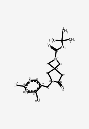 CC(C)(C)OC(=O)N1CC2(CC(=O)N(Cc3cnc(Cl)nc3Cl)C2)C1